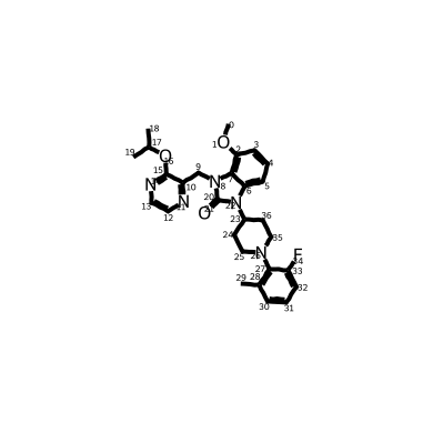 COc1cccc2c1n(Cc1nccnc1OC(C)C)c(=O)n2C1CCN(c2c(C)cccc2F)CC1